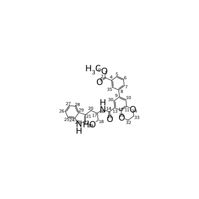 COC(=O)c1cccc(-c2cc3c(c(C(=O)NC(CO)Cc4c[nH]c5ccccc45)c2)OCCO3)c1